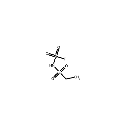 CCS(=O)(=O)NS(=O)(=O)F